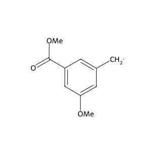 [CH2]c1cc(OC)cc(C(=O)OC)c1